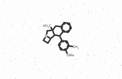 COc1ccc(C2c3ccccc3CC3(C(=O)O)CN4CCC4C23)cc1C